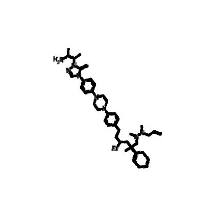 C=CCN(C)N(C)CC(C)(CC(CC)CCc1ccc(N2CCN(c3ccc(N4C=NN(C(C)C(C)N)C4=C)cc3)CC2)cc1)C1=CCCCC1